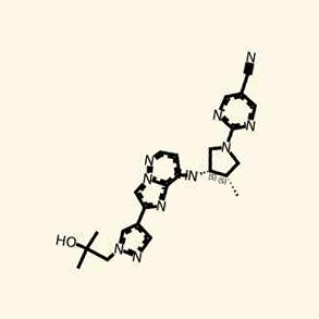 C[C@H]1CN(c2ncc(C#N)cn2)C[C@H]1Nc1ccnn2cc(-c3cnn(CC(C)(C)O)c3)nc12